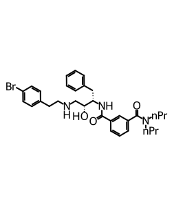 CCCN(CCC)C(=O)c1cccc(C(=O)N[C@@H](Cc2ccccc2)[C@H](O)CNCCc2ccc(Br)cc2)c1